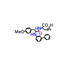 COc1ccc(CC(Nc2cccc(-c3ccccc3)c2)C(=O)NC(CC(C)C)C(=O)O)cc1